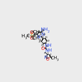 Cc1cc(CNC(=O)Nc2ccc(-c3nc(N)cc(C(C)(C)S(C)(=O)=O)n3)cc2)no1